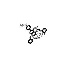 CCOC(=O)c1cn(Cc2ccccc2OC)c2sc(-c3ccc(OC)cc3)c(CN(C)CCCc3ccccc3)c2c1=O